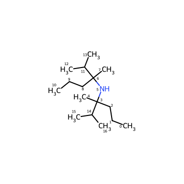 CCCC(C)(NC(C)(CCC)C(C)C)C(C)C